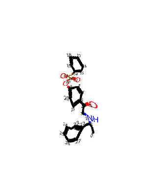 CC(NCC(=O)c1ccc(OS(=O)(=O)c2ccccc2)cc1)c1ccccc1